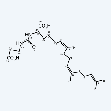 CC(C)=CCCC(C)=CCCC(C)=CCSC[C@H](NC(=O)NCCC(=O)O)C(=O)O